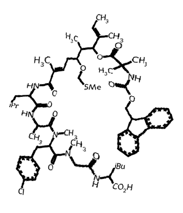 C/C=C(\C)C(OC(=O)C(C)(C)NC(=O)OCC1c2ccccc2-c2ccccc21)C(C)C(C/C=C(\C)C(=O)NC(CC(C)C)C(=O)NC(C)C(=O)N(C)C(Cc1ccc(Cl)cc1)C(=O)N(C)CC(=O)NC(C(=O)O)C(C)CC)OCSC